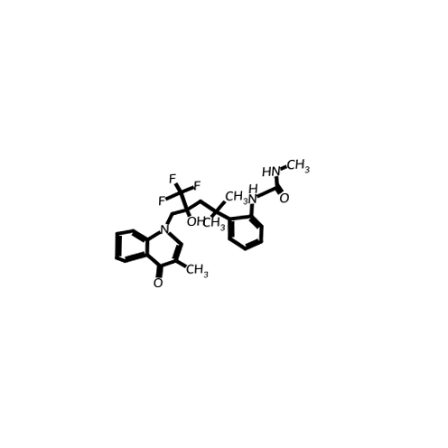 CNC(=O)Nc1ccccc1C(C)(C)CC(O)(Cn1cc(C)c(=O)c2ccccc21)C(F)(F)F